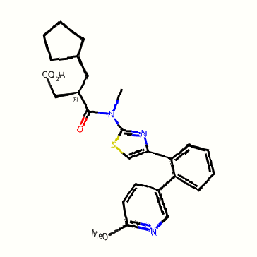 COc1ccc(-c2ccccc2-c2csc(N(C)C(=O)[C@@H](CC(=O)O)CC3CCCC3)n2)cn1